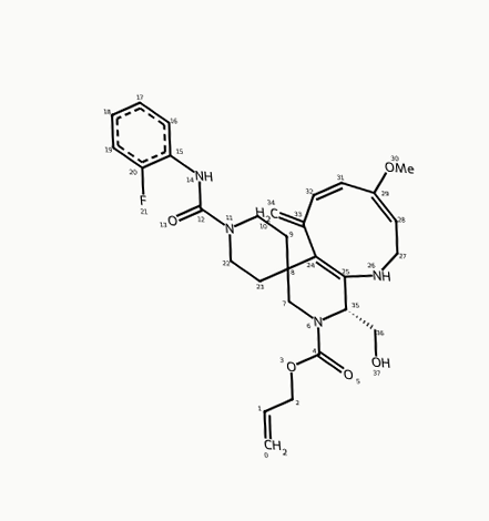 C=CCOC(=O)N1CC2(CCN(C(=O)Nc3ccccc3F)CC2)C2=C(NC/C=C(OC)\C=C/C2=C)[C@@H]1CO